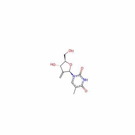 C=C1[C@H](n2cc(C)c(=O)[nH]c2=O)O[C@H](CO)[C@H]1O